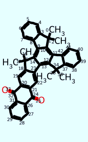 CC1(C)c2ccccc2-c2c1c1c(c3c2C(C)(C)c2cc4c(cc2-3)C(=O)c2ccccc2C4=O)C(C)(C)c2ccccc2-1